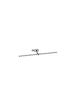 CCCCCCCCCCCCCCCCCCN(CCCCCCCCCCCCCCCCCC)CCC(=O)O